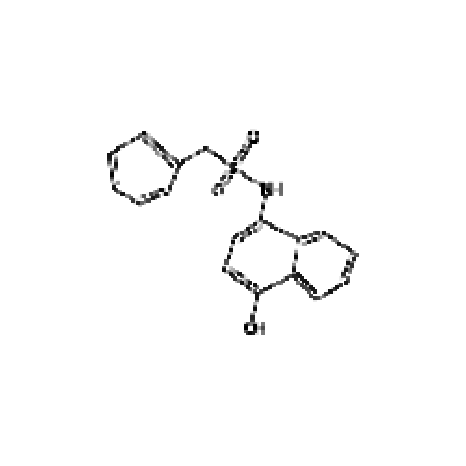 O=S(=O)(Cc1ccccc1)Nc1ccc(O)c2ccccc12